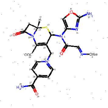 CON=CC(=O)N(c1coc(N)n1)C1S[C@H]2CC(=O)N2C(C(=O)[O-])=C1C[n+]1ccc(C(N)=O)cc1